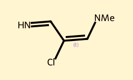 CN/C=C(/Cl)C=N